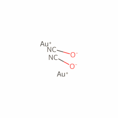 N#C[O-].N#C[O-].[Au+].[Au+]